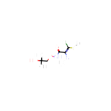 C=N/C(C(=O)NOCC(C)(C)O)=C(/Cl)SCC